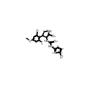 COc1cc(F)c(C2CNC(=O)C2NC(=O)Nc2ccc(Cl)s2)c(F)c1